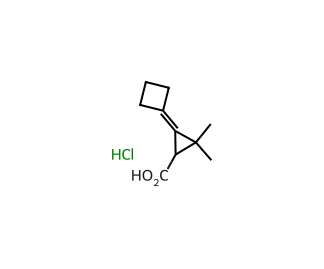 CC1(C)C(=C2CCC2)C1C(=O)O.Cl